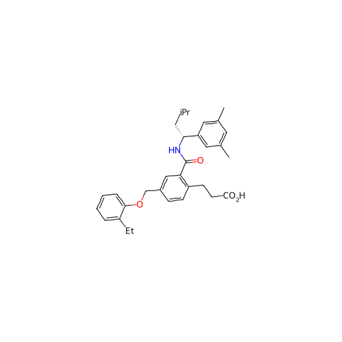 CCc1ccccc1OCc1ccc(CCC(=O)O)c(C(=O)N[C@H](CC(C)C)c2cc(C)cc(C)c2)c1